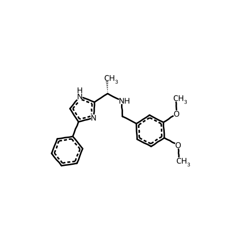 COc1ccc(CN[C@@H](C)c2nc(-c3ccccc3)c[nH]2)cc1OC